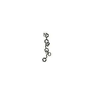 O=C(CCc1ccccc1)N1CCC(Cn2ccc3cc(-c4cccnc4)ccc32)CC1